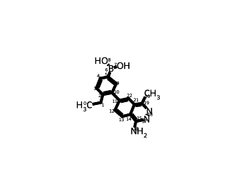 CCc1ccc(B(O)O)cc1-c1ccc2c(N)nnc(C)c2c1